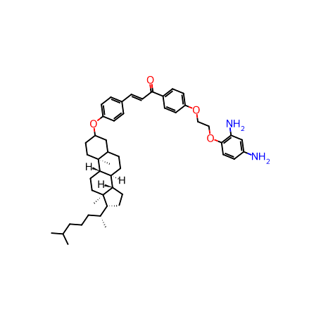 CC(C)CCC[C@@H](C)[C@H]1CC[C@H]2[C@@H]3CCC4CC(Oc5ccc(C=CC(=O)c6ccc(OCCOc7ccc(N)cc7N)cc6)cc5)CC[C@]4(C)[C@H]3CC[C@]12C